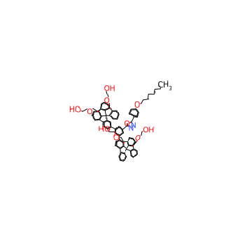 CCCCCCCCOc1ccc(-c2nnc(-c3cc(-c4ccc5c(c4)C(c4ccccc4CCOCCO)(c4ccccc4CCOCCO)c4ccccc4-5)cc(-c4ccc5c(c4)C(c4ccccc4CCOCCO)(c4ccccc4CCOCCO)c4ccccc4-5)c3)o2)cc1